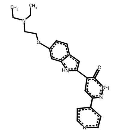 CCN(CC)CCOc1ccc2cc(-c3cc(-c4ccncc4)n[nH]c3=O)[nH]c2c1